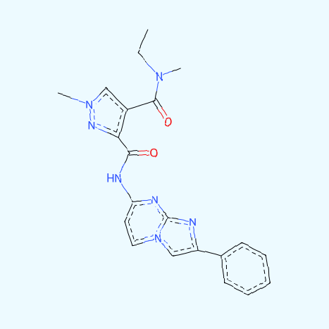 CCN(C)C(=O)c1cn(C)nc1C(=O)Nc1ccn2cc(-c3ccccc3)nc2n1